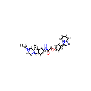 CCN1CCN(Cc2ccc(NC(=O)COc3ccc(-c4cnc5ccccn45)cc3)cc2C)CC1